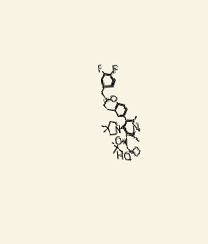 Cc1nc(C)c([C@H](OC(C)(C)C)C(=O)O)c(N2CCC(C)(C)CC2)c1-c1ccc2c(c1)CC[C@@H](Cc1ccc(F)c(F)c1)O2